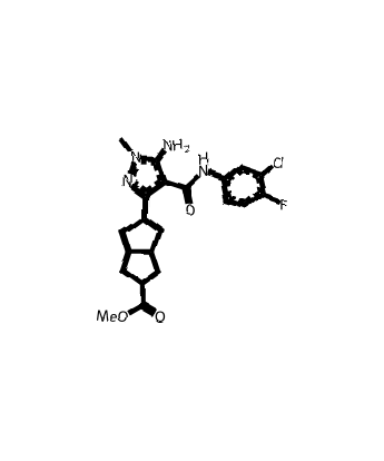 COC(=O)C1CC2CC(c3nn(C)c(N)c3C(=O)Nc3ccc(F)c(Cl)c3)CC2C1